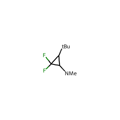 CNC1C(C(C)(C)C)C1(F)F